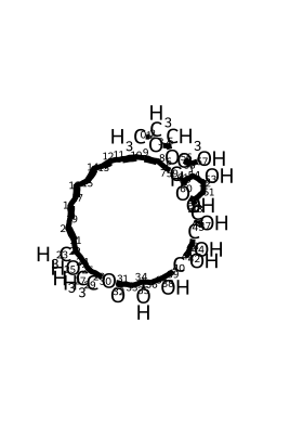 CC(C)O[C@H](C)O[C@H]1/C=C/C=C/C=C/C=C/C=C/C=C/C=C/[C@H](C)[C@@H](O)[C@@H](C)[C@H](C)OC(=O)C[C@H](O)C[C@H](O)CCC(O)[C@H](O)C[C@H](O)C[C@]2(O)C[C@H](O)[C@@H](C(=O)O)[C@H](C1)O2